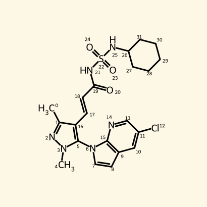 Cc1nn(C)c(-n2ccc3cc(Cl)cnc32)c1/C=C/C(=O)NS(=O)(=O)NC1CCCCC1